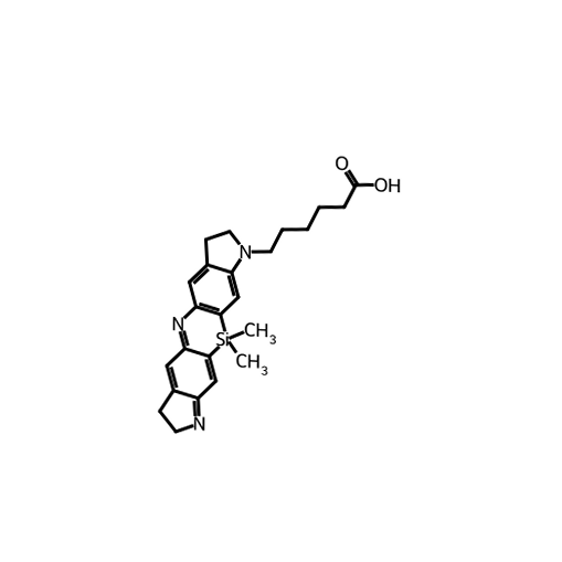 C[Si]1(C)c2cc3c(cc2N=c2cc4c(cc21)=NCC4)CCN3CCCCCC(=O)O